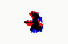 CCOC(=O)COc1nc(Oc2cc(C#N)ccc2[N+](=O)[O-])nc(Oc2cc(CC(=O)N(C)C)cc(-c3ncc[nH]3)c2)c1[N+](=O)[O-]